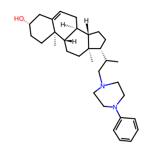 CC(CN1CCN(c2ccccc2)CC1)[C@H]1CC[C@H]2[C@@H]3CC=C4C[C@@H](O)CC[C@]4(C)[C@H]3CC[C@]12C